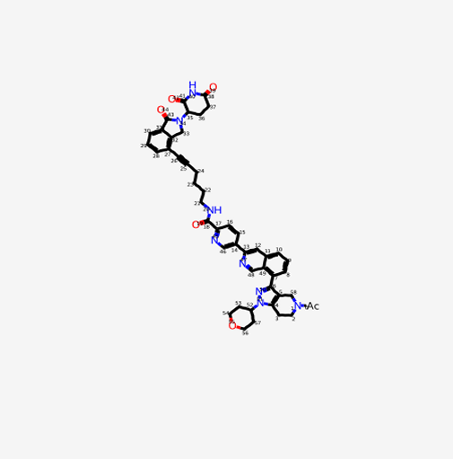 CC(=O)N1CCc2c(c(-c3cccc4cc(-c5ccc(C(=O)NCCCCC#Cc6cccc7c6CN(C6CCC(=O)NC6=O)C7=O)nc5)ncc34)nn2C2CCOCC2)C1